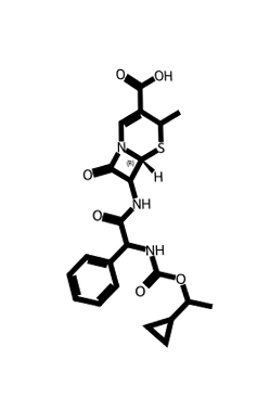 CC1S[C@@H]2C(NC(=O)C(NC(=O)OC(C)C3CC3)c3ccccc3)C(=O)N2C=C1C(=O)O